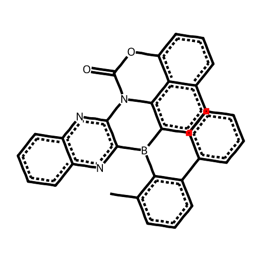 Cc1cccc(-c2ccccc2)c1B1c2ccc3cccc4c3c2N(C(=O)O4)c2nc3ccccc3nc21